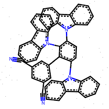 N#Cc1cc(C#N)cc(-c2c(-n3c4ccccc4c4ccccc43)ccc(-n3c4ccccc4c4ccccc43)c2-n2c3ccccc3c3ccccc32)c1